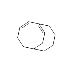 C1=CC2=CCC(CC1)CCCC2